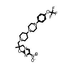 CC1(CN2CCC(N3CCN(c4ccc(OC(F)(F)F)cc4)CC3)CC2)Cn2cc([N+](=O)[O-])nc2O1